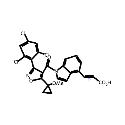 COC1(c2onc(-c3c(Cl)cc(Cl)cc3Cl)c2C(=O)n2ccc3c(/C=C/C(=O)O)cccc32)CC1